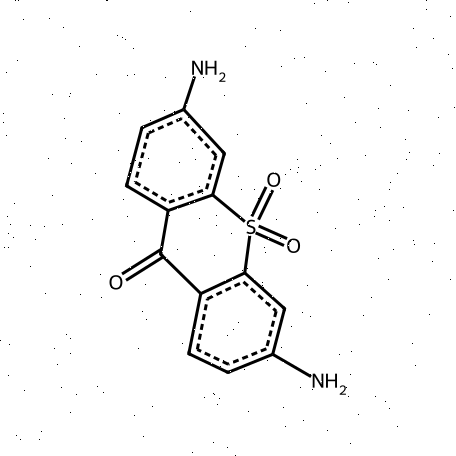 Nc1ccc2c(c1)S(=O)(=O)c1cc(N)ccc1C2=O